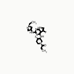 C=CC(=O)N1CC[C@@H](F)[C@@H](Nc2nc(Nc3cnn(CC)c3)nc3[nH]cc(F)c23)C1